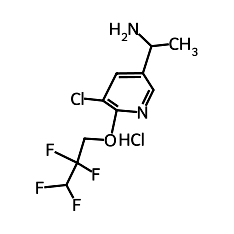 CC(N)c1cnc(OCC(F)(F)C(F)F)c(Cl)c1.Cl